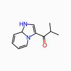 CC(C)C(=O)C1=CNC2C=CC=CN12